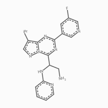 CC(C)c1cnn2c(C(CN)Nc3ccccn3)nc(-c3cncc(F)c3)nc12